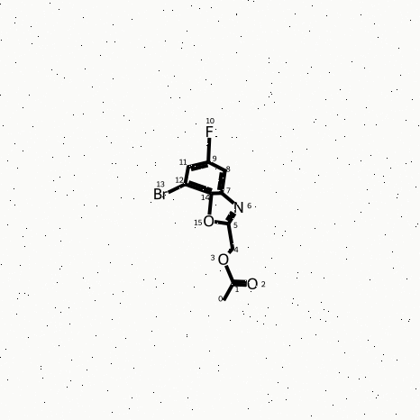 CC(=O)OCc1nc2cc(F)cc(Br)c2o1